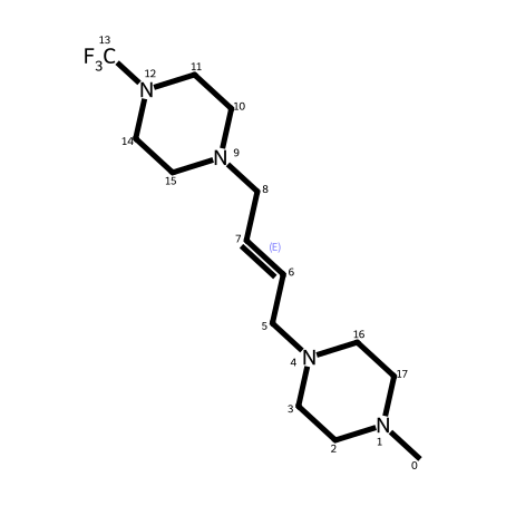 CN1CCN(C/C=C/CN2CCN(C(F)(F)F)CC2)CC1